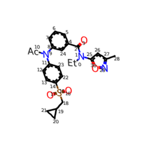 CCN(C(=O)c1cccc(N(C(C)=O)c2ccc(S(=O)(=O)CC3CC3)cc2)c1)c1cc(C)no1